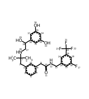 CC(C)(Cc1cccc(CC(=O)NCc2cc(F)cc(C(F)(F)F)c2)c1)NCC(O)c1cc(O)cc(O)c1